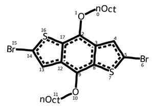 CCCCCCCCOc1c2cc(Br)sc2c(OCCCCCCCC)c2cc(Br)sc12